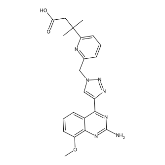 COc1cccc2c(-c3cn(Cc4cccc(C(C)(C)CC(=O)O)n4)nn3)nc(N)nc12